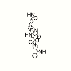 CNC(=O)COCc1cnc(-c2ncc(OC)c3c(C(=O)C(=O)N4CCC(=C(NC)c5ccccc5)CC4)c[nH]c23)s1